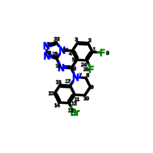 Fc1ccc2c(c(N3CCCc4c(Br)cccc43)nc3nncn32)c1F